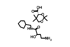 CC1(C)OCC(C)(C)[C@H](C(=O)O)O1.NCCC(O)C(=O)NCC1CCCCC1